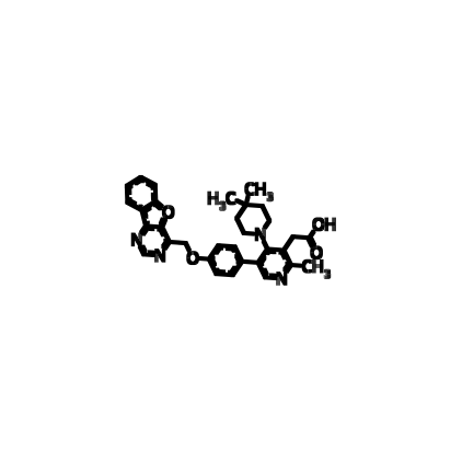 Cc1ncc(-c2ccc(OCc3ncnc4c3oc3ccccc34)cc2)c(N2CCC(C)(C)CC2)c1CC(=O)O